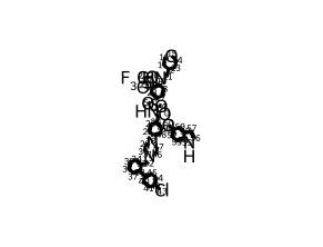 O=C(NS(=O)(=O)c1ccc(NCC2CCOCC2)c(S(=O)(=O)C(F)(F)F)c1)c1ccc(N2CCN(Cc3ccccc3-c3ccc(Cl)cc3)CC2)cc1Oc1ccc2[nH]ccc2c1